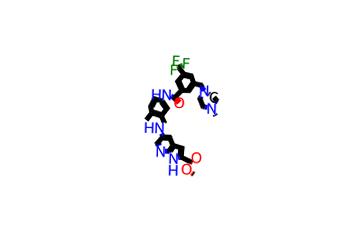 COC(=O)c1cc2cc(NCc3cc(NC(=O)c4cc(CN5CCN(C)CC5)cc(C(F)(F)F)c4)ccc3C)cnc2[nH]1